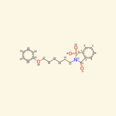 O=C1c2ccccc2S(=O)(=O)N1CCCCCCOc1ccccc1